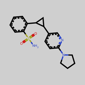 NS(=O)(=O)c1ccccc1C1CC1c1ccc(N2CCCC2)nc1